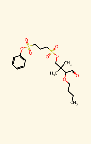 CCCCOC(C=O)C(C)(C)COS(=O)(=O)CCCS(=O)(=O)Oc1ccccc1